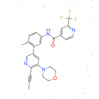 CC#Cc1ncc(-c2cc(NC(=O)c3ccnc(C(F)(F)F)c3)ccc2C)cc1N1CCOCC1